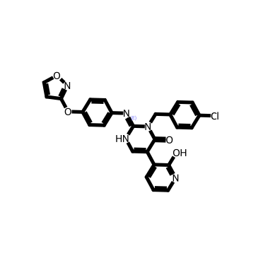 O=c1c(-c2cccnc2O)c[nH]/c(=N\c2ccc(Oc3ccon3)cc2)n1Cc1ccc(Cl)cc1